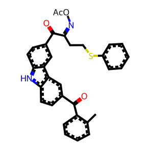 CC(=O)O/N=C(/CCSc1ccccc1)C(=O)c1ccc2[nH]c3ccc(C(=O)c4ccccc4C)cc3c2c1